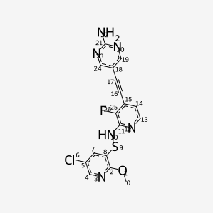 COc1ncc(Cl)cc1SNc1nccc(C#Cc2cnc(N)nc2)c1F